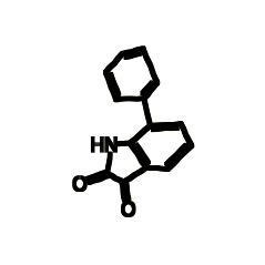 O=C1Nc2c(cccc2-c2ccccc2)C1=O